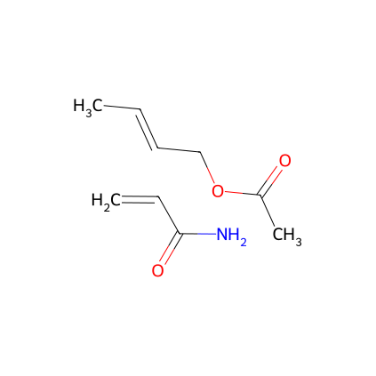 C=CC(N)=O.CC=CCOC(C)=O